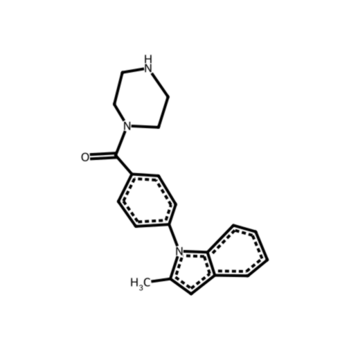 Cc1cc2ccccc2n1-c1ccc(C(=O)N2CCNCC2)cc1